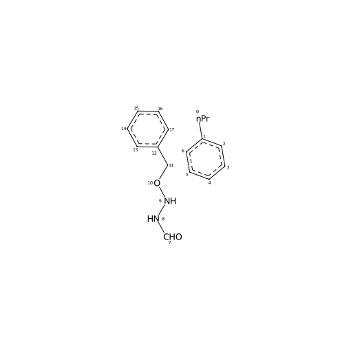 CCCc1ccccc1.O=CNNOCc1ccccc1